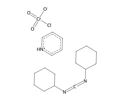 C(=NC1CCCCC1)=NC1CCCCC1.[O]=[Cr](=[O])([O-])[Cl].c1cc[nH+]cc1